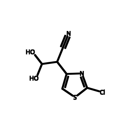 N#CC(c1csc(Cl)n1)C(O)O